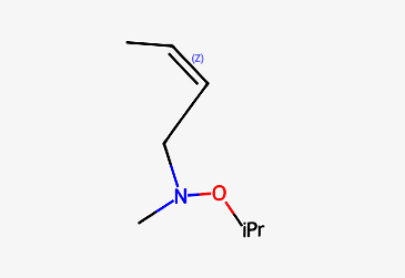 C/C=C\CN(C)OC(C)C